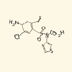 Nc1cc(F)c(S(=O)(=O)N(C(=O)O)c2cscn2)cc1Cl